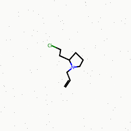 C=CCN1CCCC1CCCl